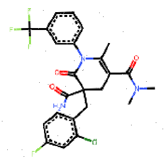 CC1=C(C(=O)N(C)C)CC(Cc2ccc(F)cc2Cl)(C(N)=O)C(=O)N1c1cccc(C(F)(F)F)c1